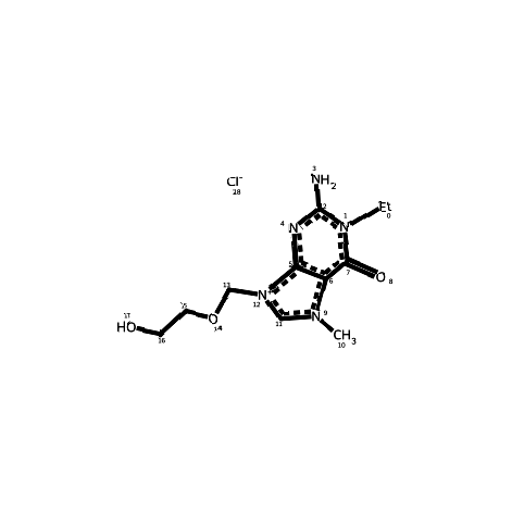 CCn1c(N)nc2c(c1=O)n(C)c[n+]2COCCO.[Cl-]